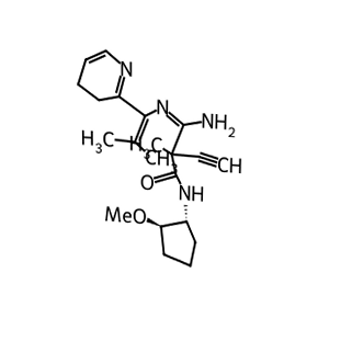 C#CC(C)(C(=O)N[C@@H]1CCC[C@H]1OC)/C(N)=N\C(C1=NC=CCC1)=C(C)C